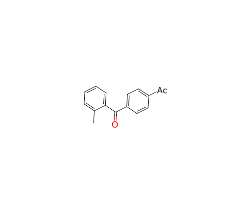 CC(=O)c1ccc(C(=O)c2ccccc2C)cc1